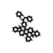 Cc1ccccc1/N=C(\Cc1ccccc1)c1ccc(-c2c3ccc4c(c3c(-c3ccccc3)c3ccc5c(c23)C(C)(C)c2ccccc2-5)C(C)(C)c2ccccc2-4)cc1